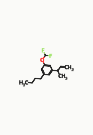 C=C[C](C)c1cc(CCCC)cc(OC(F)F)c1